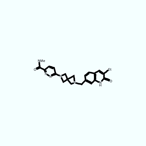 CCc1cc2ccc(CN3CC4(C3)CN(c3ccc(C(=O)NC)nn3)C4)cc2[nH]c1=O